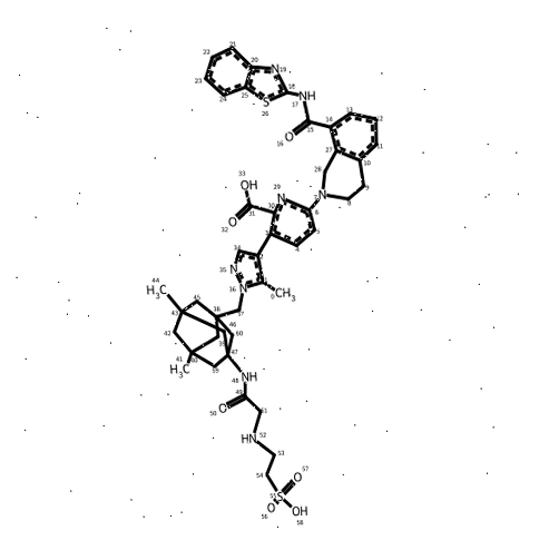 Cc1c(-c2ccc(N3CCc4cccc(C(=O)Nc5nc6ccccc6s5)c4C3)nc2C(=O)O)cnn1CC12CC3(C)CC(C)(C1)CC(NC(=O)CNCCS(=O)(=O)O)(C3)C2